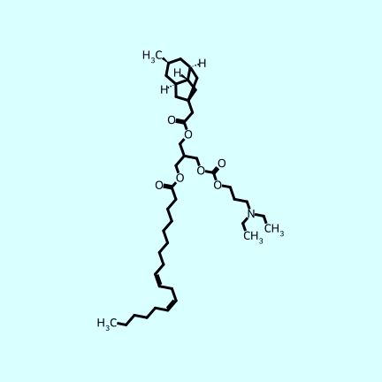 CCCCC/C=C\C/C=C\CCCCCCCC(=O)OCC(COC(=O)CC12C[C@H]3C[C@@H](C)C[C@@H](C1)[C@@H]3C2)COC(=O)OCCCN(CC)CC